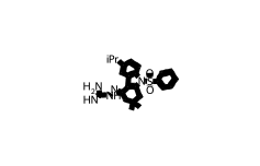 CC(C)c1ccc2c(c1)c1c(n2S(=O)(=O)c2ccccc2)CC(C)(C)CC1=NNC(=N)N